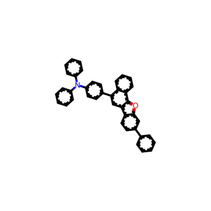 c1ccc(-c2ccc3c(c2)oc2c4ccccc4c(-c4ccc(N(c5ccccc5)c5ccccc5)cc4)cc32)cc1